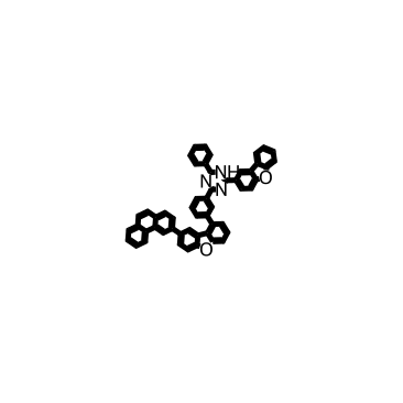 c1ccc(C2N=C(c3cccc(-c4cccc5oc6ccc(-c7ccc8ccc9ccccc9c8c7)cc6c45)c3)N=C(c3ccc4oc5ccccc5c4c3)N2)cc1